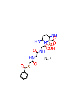 N=C1CCC(=N)[C@](C(=O)[O-])(S(=O)(=O)O)N1C(=O)CNC(=O)CNC(=O)CSC(=O)c1ccccc1.[Na+]